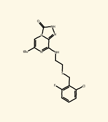 CC(C)(C)c1cn2c(=O)[nH]nc2c(NCCSCc2c(F)cccc2Cl)n1